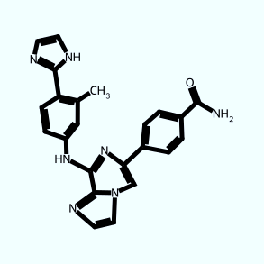 Cc1cc(Nc2nc(-c3ccc(C(N)=O)cc3)cn3ccnc23)ccc1-c1ncc[nH]1